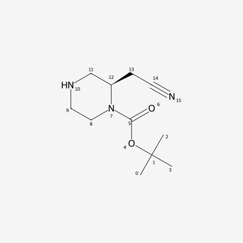 CC(C)(C)OC(=O)N1CCNC[C@H]1CC#N